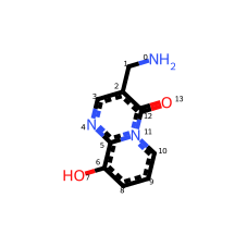 NCc1cnc2c(O)cccn2c1=O